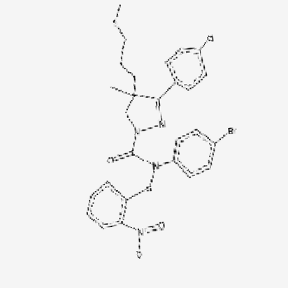 CSCCCC1(C)CN(C(=O)N(Sc2ccccc2[N+](=O)[O-])c2ccc(Br)cc2)N=C1c1ccc(Cl)cc1